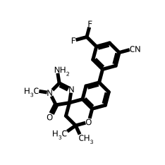 CN1C(=O)C2(CC(C)(C)Oc3ccc(-c4cc(C#N)cc(C(F)F)c4)cc32)N=C1N